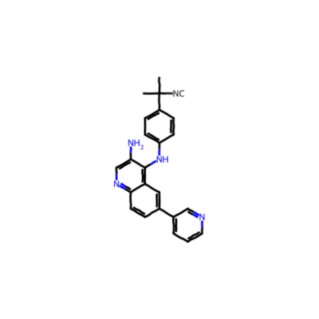 [C-]#[N+]C(C)(C)c1ccc(Nc2c(N)cnc3ccc(-c4cccnc4)cc23)cc1